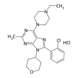 CCN1CCN(c2nc(C)nc3c2nc(-c2ccccc2Cl)n3C2CCOCC2)CC1.Cl